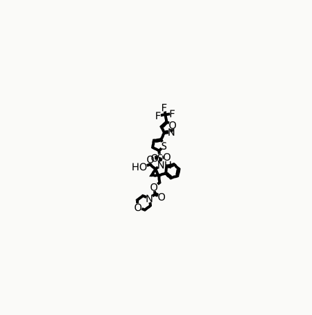 O=C(OCC1(c2ccccc2)CC1(NS(=O)(=O)C1CC=C(c2cc(C(F)(F)F)on2)S1)C(=O)O)N1CCOCC1